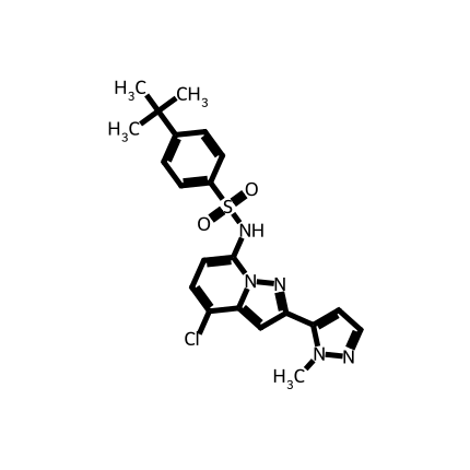 Cn1nccc1-c1cc2c(Cl)ccc(NS(=O)(=O)c3ccc(C(C)(C)C)cc3)n2n1